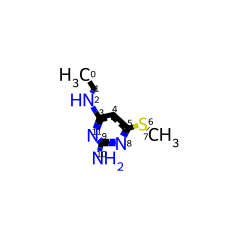 CCNc1cc(SC)nc(N)n1